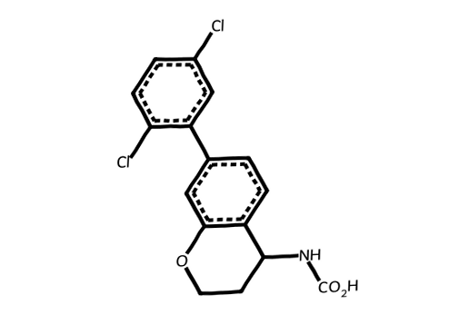 O=C(O)NC1CCOc2cc(-c3cc(Cl)ccc3Cl)ccc21